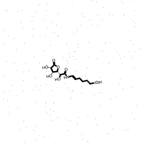 CCCCCCCCCCCCCCC=CNC(=O)C(O)[C@H]1OC(=O)[C@@H](O)[C@H]1O